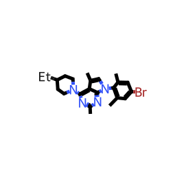 CCC1CCN(c2nc(C)nc3c2c(C)cn3-c2c(C)cc(Br)cc2C)CC1